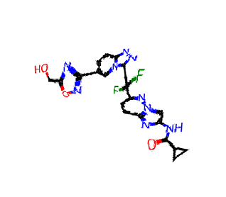 O=C(Nc1cn2nc(C(F)(F)c3nnc4ccc(-c5noc(CO)n5)cn34)ccc2n1)C1CC1